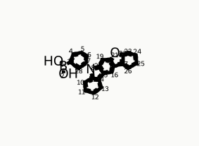 OB(O)c1cccc(-n2c3ccccc3c3cc4c(cc32)oc2ccccc24)c1